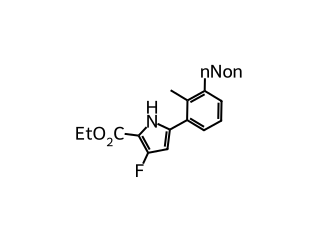 CCCCCCCCCc1cccc(-c2cc(F)c(C(=O)OCC)[nH]2)c1C